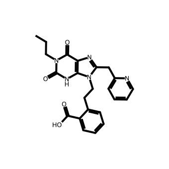 CCCn1c(=O)[nH]c2c(nc(Cc3ccccn3)n2CCc2ccccc2C(=O)O)c1=O